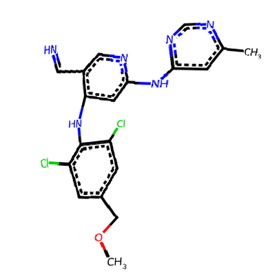 COCc1cc(Cl)c(Nc2cc(Nc3cc(C)ncn3)ncc2C=N)c(Cl)c1